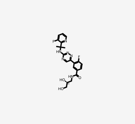 CC(C)(Nc1ncc(-c2cc(C(=O)NC[C@H](O)CO)ccc2F)nn1)c1ncccc1F